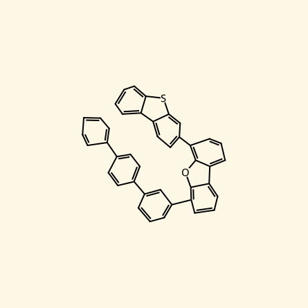 c1ccc(-c2ccc(-c3cccc(-c4cccc5c4oc4c(-c6ccc7c(c6)sc6ccccc67)cccc45)c3)cc2)cc1